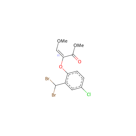 CO/C=C(/Oc1ccc(Cl)cc1C(Br)Br)C(=O)OC